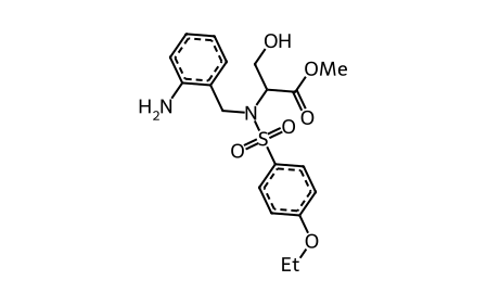 CCOc1ccc(S(=O)(=O)N(Cc2ccccc2N)C(CO)C(=O)OC)cc1